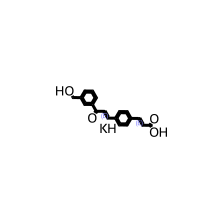 O=C(O)/C=C/c1ccc(/C=C/C(=O)c2cccc(CO)c2)cc1.[KH]